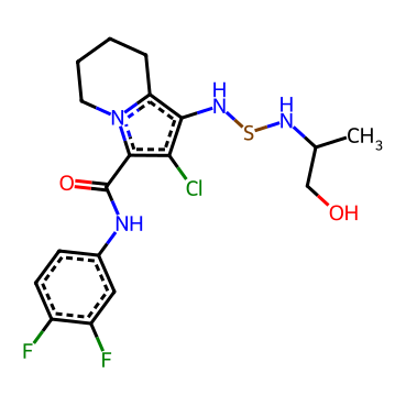 CC(CO)NSNc1c(Cl)c(C(=O)Nc2ccc(F)c(F)c2)n2c1CCCC2